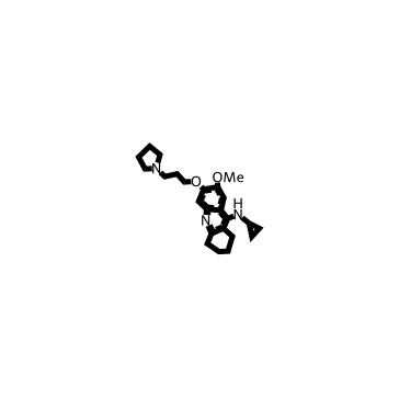 COc1cc2c(NC3CC3)c3c(nc2cc1OCCCN1CCCC1)CCCC3